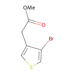 COC(=O)Cc1cscc1Br